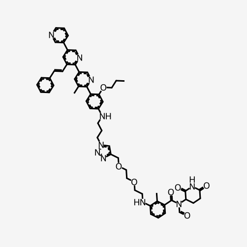 CCCOc1cc(NCCCn2cc(COCCOCCNc3cccc(C(=O)N(C=O)C4CCC(=O)NC4=O)c3C)nn2)ccc1-c1ncc(-c2ncc(-c3cccnc3)cc2/C=C/c2ccccc2)cc1C